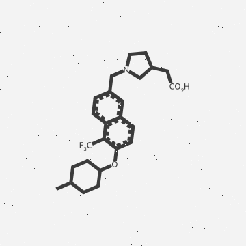 CC1CCC(Oc2ccc3cc(CN4CCC(CC(=O)O)C4)ccc3c2C(F)(F)F)CC1